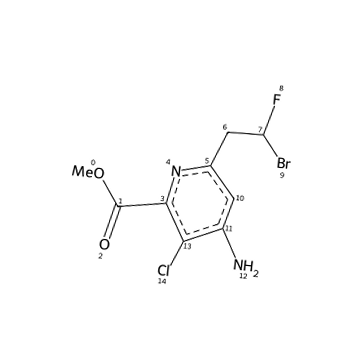 COC(=O)c1nc(CC(F)Br)cc(N)c1Cl